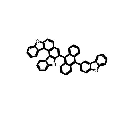 c1ccc2c(c1)oc1ccc(-c3c4ccccc4c(-c4cc5ccc6oc7ccccc7c6c5c5c4oc4ccccc45)c4ccccc34)cc12